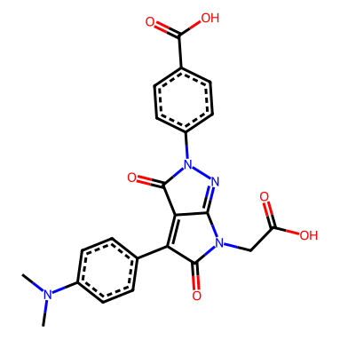 CN(C)c1ccc(C2=C3C(=O)N(c4ccc(C(=O)O)cc4)N=C3N(CC(=O)O)C2=O)cc1